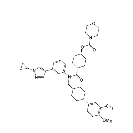 COc1ccc([C@H]2CC[C@H](CN(c3cccc(-c4cnn(C5CC5)c4)c3)C(=O)[C@H]3CC[C@H](OC(=O)N4CCOCC4)CC3)CC2)cc1C